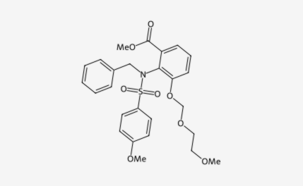 COCCOCOc1cccc(C(=O)OC)c1N(Cc1ccccc1)S(=O)(=O)c1ccc(OC)cc1